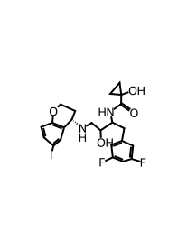 O=C(NC(Cc1cc(F)cc(F)c1)C(O)CN[C@H]1CCOc2ccc(I)cc21)C1(O)CC1